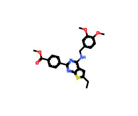 CCc1cc2c(NCc3ccc(OC)c(OC)c3)nc(-c3ccc(C(=O)OC)cc3)nc2s1